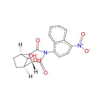 O=C1C2[C@H](C(=O)N1c1ccc([N+](=O)[O-])c3ccccc13)[C@H]1CC[C@@H]2C1(O)O